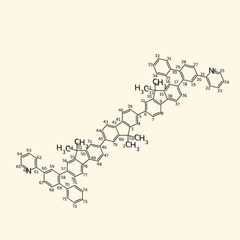 CC1(C)c2cc(-c3ccc4c(c3)C(C)(C)c3cc(-c5cc(-c6ccccn6)ccc5-c5ccccc5)ccc3-4)ccc2-c2ccc(-c3ccc4c(c3)C(C)(C)c3cc(-c5cc(-c6ccccn6)ccc5-c5ccccc5)ccc3-4)cc21